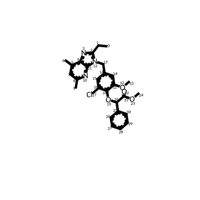 CCc1nc2c(C)cc(C)nc2n1Cc1cc(Cl)c(OC(C(=O)OC)c2ccccc2)c(OC)c1